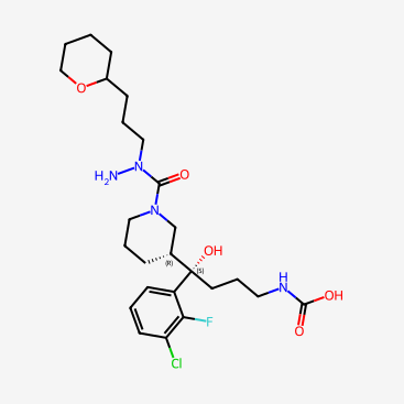 NN(CCCC1CCCCO1)C(=O)N1CCC[C@@H]([C@@](O)(CCCNC(=O)O)c2cccc(Cl)c2F)C1